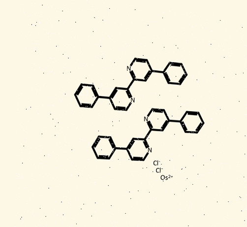 [Cl-].[Cl-].[Os+2].c1ccc(-c2ccnc(-c3cc(-c4ccccc4)ccn3)c2)cc1.c1ccc(-c2ccnc(-c3cc(-c4ccccc4)ccn3)c2)cc1